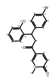 Cn1cc(C(=O)CC(c2ccc(Br)cc2)c2ccccc2Cl)ccc1=O